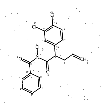 C=CCC(C(=O)N(C)C(=O)c1ccccc1)c1ccc(Cl)c(Cl)c1